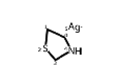 C1CSCN1.[Ag]